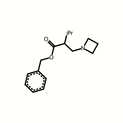 CC(C)C(CN1CCC1)C(=O)OCc1ccccc1